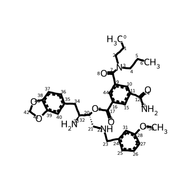 CCCN(CCC)C(=O)c1cc(C(N)=O)cc(C(=O)O[C@H](CNCc2cccc(OC)c2)[C@@H](N)Cc2ccc3c(c2)OCO3)c1